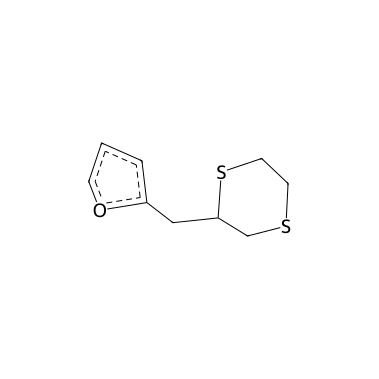 c1coc(CC2CSCCS2)c1